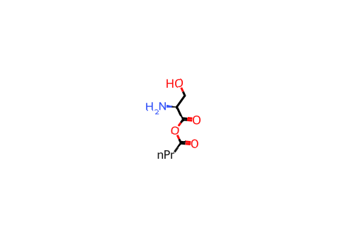 CCCC(=O)OC(=O)[C@@H](N)CO